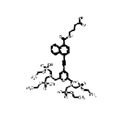 CCOP(=O)(O)CN(Cc1cc(C#Cc2ccc(C(=O)NCCCC(=O)O)c3ccccc23)cc(CN(CP(=O)(O)OCC)CP(=O)(O)OCC)n1)CP(=O)(O)OCC